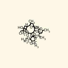 CC[C@@H](O)[C@]1(O)C[C@H]2C3=C(C)C[C@@](C)(O3)[C@H](OC3CC(N(C)C)CC(C)O3)[C@@H](C)[C@@H](OC3CC(C)(OC)C(O)C(C)O3)[C@@H](C)C(=O)O[C@H]21